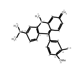 C=c1ccc2c(c1)N(C)c1cc(N(C)C)ccc1C=2c1ccc(OC)c(F)c1